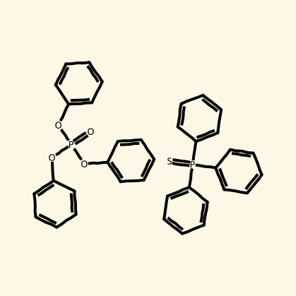 O=P(Oc1ccccc1)(Oc1ccccc1)Oc1ccccc1.S=P(c1ccccc1)(c1ccccc1)c1ccccc1